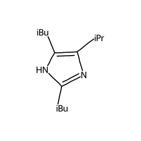 CCC(C)c1nc(C(C)C)c(C(C)CC)[nH]1